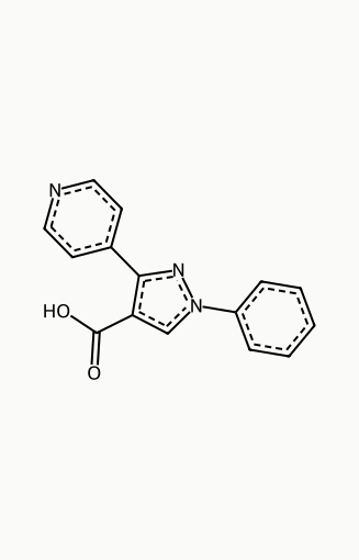 O=C(O)c1cn(-c2ccccc2)nc1-c1ccncc1